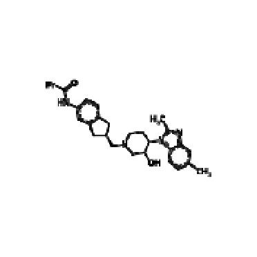 Cc1ccc2c(c1)nc(C)n2C1CCN(C[C@@H]2Cc3ccc(NC(=O)C(C)C)cc3C2)CC1O